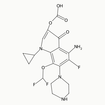 Nc1c(F)c(N2CCNCC2)c(OC(F)F)c2c1c(=O)c(OC(=O)O)cn2C1CC1